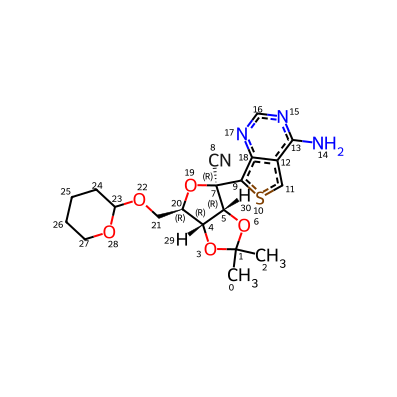 CC1(C)O[C@H]2[C@@H](O1)[C@](C#N)(c1scc3c(N)ncnc13)O[C@@H]2COC1CCCCO1